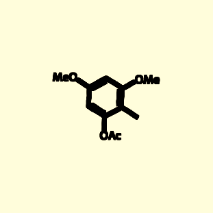 COc1cc(OC)c(C)c(OC(C)=O)c1